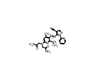 CNc1nc(N(CC(N)=O)CC(N)=O)cc(C)c1/N=N/c1c(C#N)cnn1-c1ccccn1